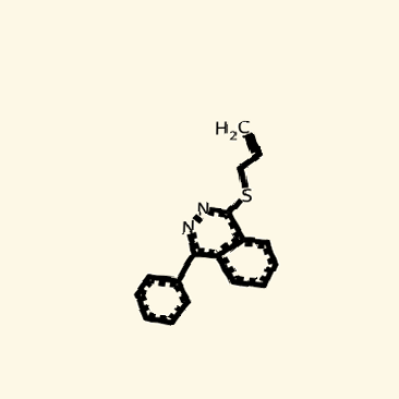 C=CCSc1nnc(-c2ccccc2)c2ccccc12